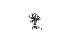 COc1cc(N2CCN(C3=Nc4c(F)cccc4C(CC(=O)O)N3c3cc(C(F)(F)F)ccc3OC)CC2)ccc1F